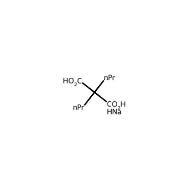 CCCC(CCC)(C(=O)O)C(=O)O.[NaH]